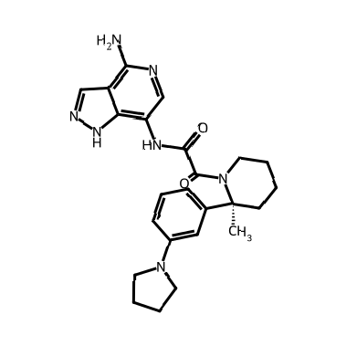 C[C@@]1(c2cccc(N3CCCC3)c2)CCCCN1C(=O)C(=O)Nc1cnc(N)c2cn[nH]c12